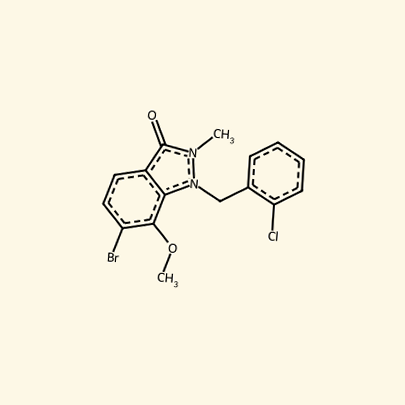 COc1c(Br)ccc2c(=O)n(C)n(Cc3ccccc3Cl)c12